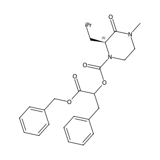 CC(C)C[C@H]1C(=O)N(C)CCN1C(=O)OC(Cc1ccccc1)C(=O)OCc1ccccc1